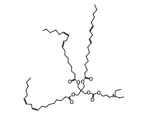 CCCCCC=CCC=CCCCCCCCC(=O)OCC(COC(=O)CCCCCCC/C=C\C/C=C\CCCCC)(COC(=O)CCCCCCC/C=C\C/C=C\CCCCC)COC(=O)OCCCN(CC)CC